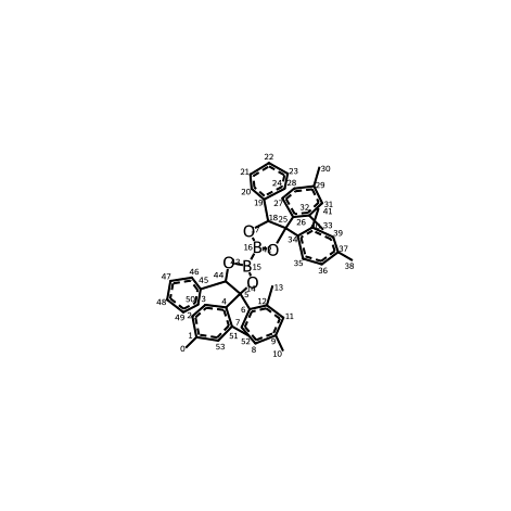 Cc1ccc(C2(c3ccc(C)cc3C)OB(B3OC(c4ccccc4)C(c4ccc(C)cc4C)(c4ccc(C)cc4C)O3)OC2c2ccccc2)c(C)c1